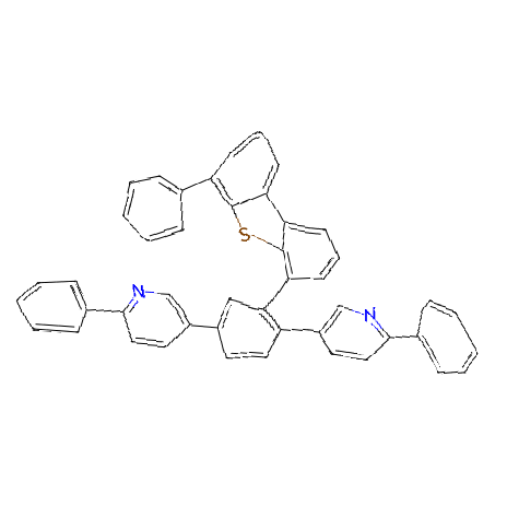 c1ccc(-c2ccc(-c3ccc(-c4ccc(-c5ccccc5)nc4)c(-c4cccc5c4sc4c(-c6ccccc6)cccc45)c3)cn2)cc1